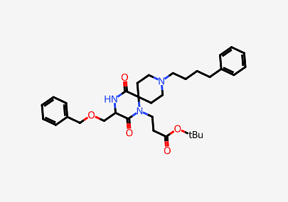 CC(C)(C)OC(=O)CCN1C(=O)C(COCc2ccccc2)NC(=O)C12CCN(CCCCc1ccccc1)CC2